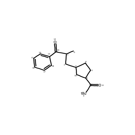 CC(CC1CCC(C(=O)C(C)(C)C)C1)C(=O)c1ccccc1